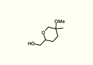 COC1(C)CCC(CO)OC1